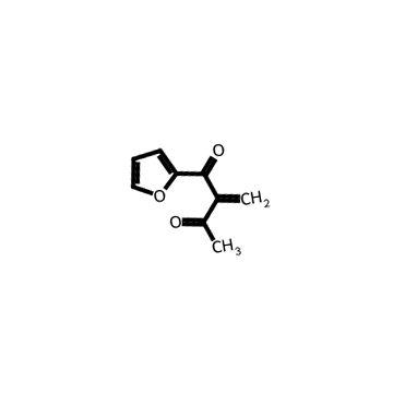 C=C(C(C)=O)C(=O)c1ccco1